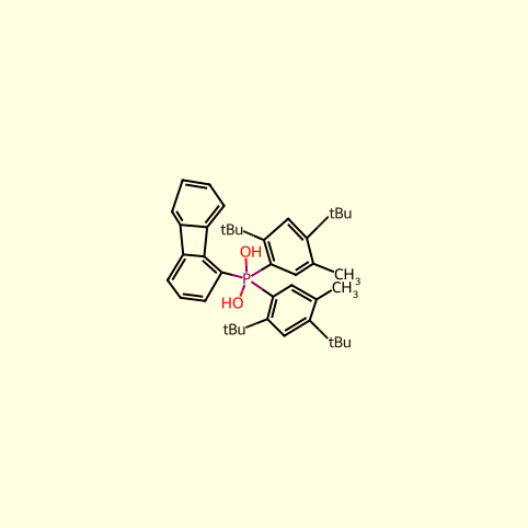 Cc1cc(P(O)(O)(c2cc(C)c(C(C)(C)C)cc2C(C)(C)C)c2cccc3c2-c2ccccc2-3)c(C(C)(C)C)cc1C(C)(C)C